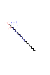 CCCCCCCCC/C=C/C=C/C=C/C=C/C=C/C=C/C(=O)C(N)CO